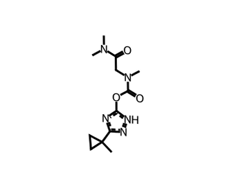 CN(C)C(=O)CN(C)C(=O)Oc1nc(C2(C)CC2)n[nH]1